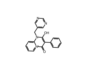 O=c1c(-c2ccccc2)c(O)n(Cc2cncnc2)c2cccc[n+]12